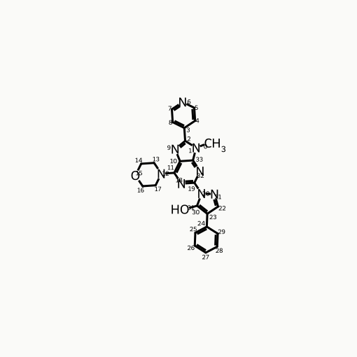 Cn1c(-c2ccncc2)nc2c(N3CCOCC3)nc(-n3ncc(-c4ccccc4)c3O)nc21